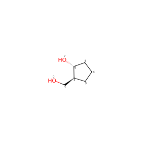 OC[C@@H]1CCC[C@H]1O